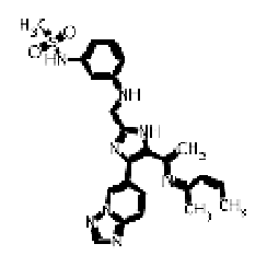 C=C(/N=C(C)\C=C/C)c1[nH]c(CNc2cccc(NS(C)(=O)=O)c2)nc1-c1ccc2ncnn2c1